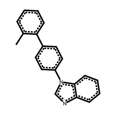 Cc1ccccc1-c1ccc(-n2cnc3ccccc32)cc1